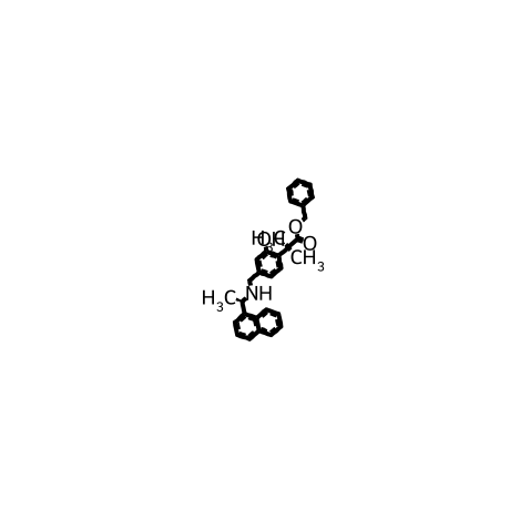 C[C@@H](NCc1ccc(C(C)(C)C(=O)OCc2ccccc2)c(O)c1)c1cccc2ccccc12